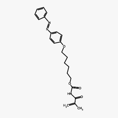 C=C(C)C(=O)NC(=O)OCCCCCCOc1ccc(N=Nc2ccccc2)cc1